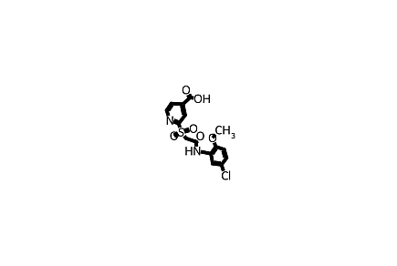 COc1ccc(Cl)cc1NC(=O)CS(=O)(=O)c1cc(C(=O)O)ccn1